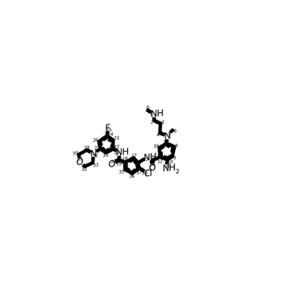 CNCCCN(C)c1ccc(N)c(C(=O)Nc2cc(C(=O)Nc3cc(F)cc(N4CCOCC4)c3)ccc2Cl)c1